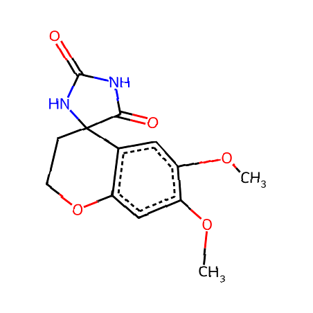 COc1cc2c(cc1OC)C1(CCO2)NC(=O)NC1=O